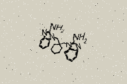 Nc1nc2ccccc2n1CC1(Cn2c(N)nc3ccccc32)CCCCC1